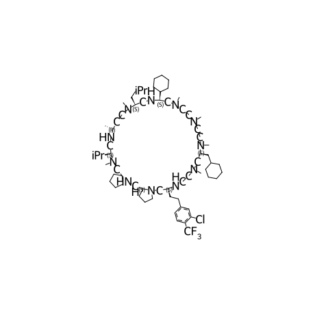 CC(C)C[C@H]1CN[C@@H](C2CCCCC2)CN(C)CCN(C)CCN(C)[C@@H](CC2CCCCC2)CN(C)CCN[C@@H](CCc2ccc(C(F)(F)F)c(Cl)c2)CN2CCC[C@H]2CNC2(CCCC2)CN(C)[C@@H](C(C)C)CN[C@H](C)CCN1C